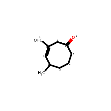 CC1C=C(C=O)CC(=O)CCC1